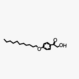 CCCCCCCCCCCOc1ccc(C(=O)CO)cc1